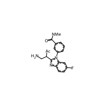 CNC(=O)c1cccc(-n2c(C(CN)C(C)=O)nc3ccc(F)cc32)c1